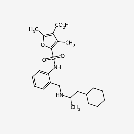 Cc1oc(S(=O)(=O)Nc2ccccc2CN[C@@H](C)CC2CCCCC2)c(C)c1C(=O)O